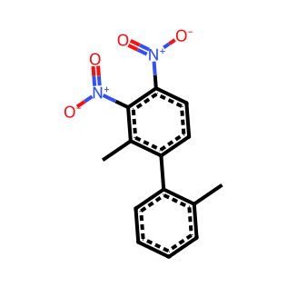 Cc1ccccc1-c1ccc([N+](=O)[O-])c([N+](=O)[O-])c1C